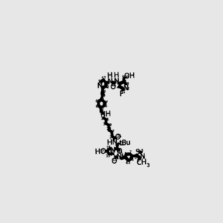 Cc1ncsc1-c1ccc(CNC(=O)[C@@H]2C[C@@H](O)CN2C(=O)[C@@H](NC(=O)CCCCCCCNCc2ccc(C#Cc3cc(NC(=O)Nc4cc(F)ncc4CO)ccn3)cc2)C(C)(C)C)cc1